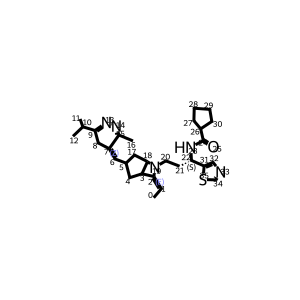 C/C=C1\C2CC(/C=C3/CC(C(C)C)=NN=C3C)CC2N1CC[C@H](NC(=O)C1CCCC1)c1cncs1